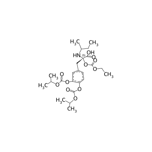 CCOC(=O)O[C@](Cc1ccc(OC(=O)OC(C)C)c(OC(=O)OC(C)C)c1)(NC(C)CC)C(=O)O